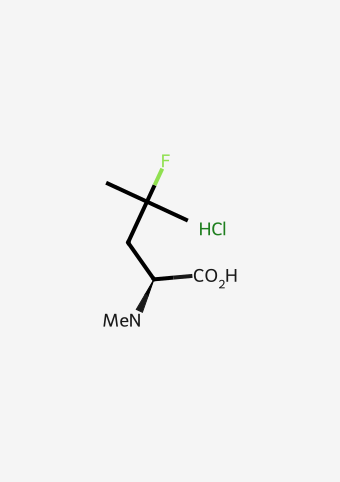 CN[C@@H](CC(C)(C)F)C(=O)O.Cl